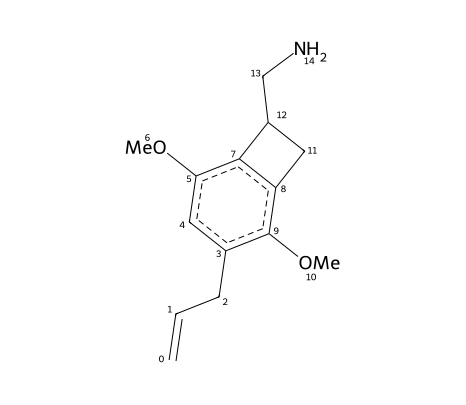 C=CCc1cc(OC)c2c(c1OC)CC2CN